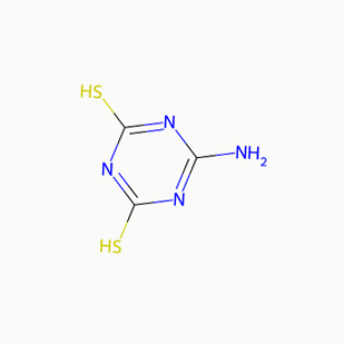 Nc1nc(S)nc(S)n1